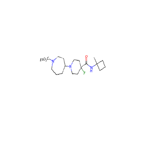 CCOC(=O)N1CCCC(N2CCC(F)(C(=O)NC3(C)CCC3)CC2)CC1